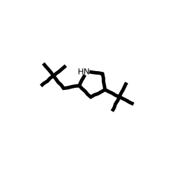 CC(C)(C)CC1CC(C(C)(C)C)CN1